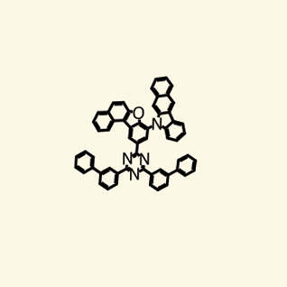 c1ccc(-c2cccc(-c3nc(-c4cccc(-c5ccccc5)c4)nc(-c4cc(-n5c6ccccc6c6cc7ccccc7cc65)c5oc6ccc7ccccc7c6c5c4)n3)c2)cc1